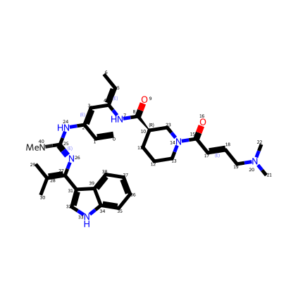 C=C/C(=C\C(=C/C)NC(=O)[C@@H]1CCCN(C(=O)/C=C/CN(C)C)C1)N/C(=N/C(=C(C)C)c1c[nH]c2ccccc12)NC